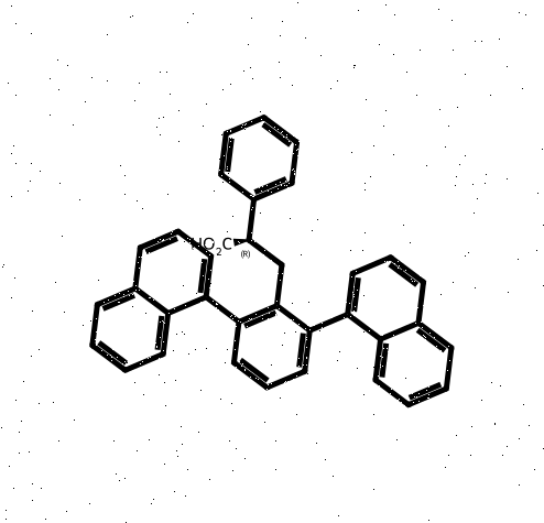 O=C(O)[C@H](Cc1c(-c2cccc3ccccc23)cccc1-c1cccc2ccccc12)c1ccccc1